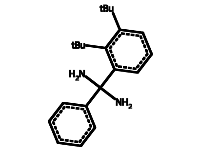 CC(C)(C)c1cccc(C(N)(N)c2ccccc2)c1C(C)(C)C